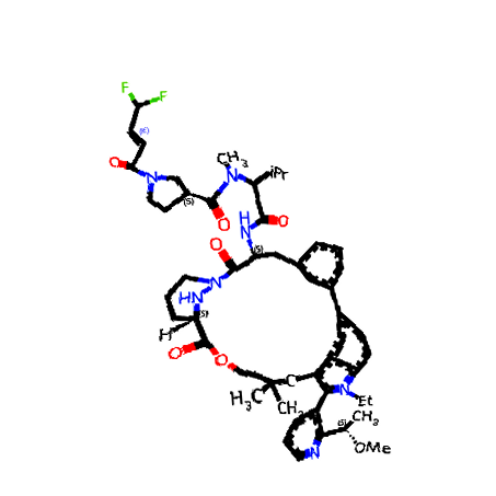 CCn1c(-c2cccnc2[C@H](C)OC)c2c3cc(ccc31)-c1cccc(c1)C[C@H](NC(=O)C(C(C)C)N(C)C(=O)[C@H]1CCN(C(=O)/C=C/C(F)F)C1)C(=O)N1CCC[C@H](N1)C(=O)OCC(C)(C)C2